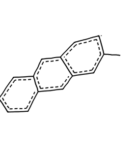 Cc1[c]cc2cc3ccccc3cc2c1